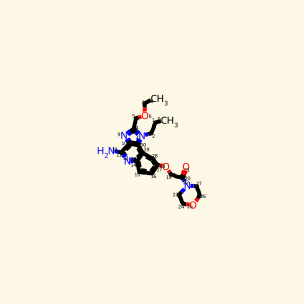 CCCn1c(COCC)nc2c(N)nc3ccc(OCC(=O)N4CCOCC4)cc3c21